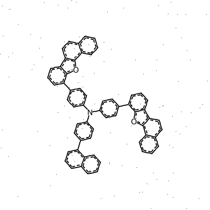 c1ccc2c(-c3ccc(N(c4ccc(-c5cccc6c5oc5c7ccccc7ccc65)cc4)c4ccc(-c5cccc6c5oc5c7ccccc7ccc65)cc4)cc3)cccc2c1